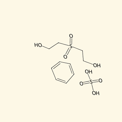 O=S(=O)(CCO)CCO.O=S(=O)(O)O.c1ccccc1